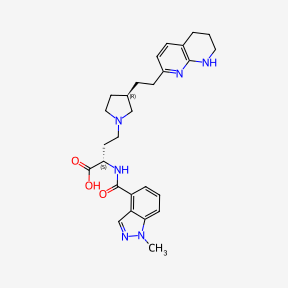 Cn1ncc2c(C(=O)N[C@@H](CCN3CC[C@@H](CCc4ccc5c(n4)NCCC5)C3)C(=O)O)cccc21